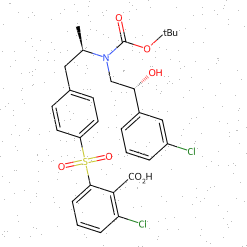 C[C@H](Cc1ccc(S(=O)(=O)c2cccc(Cl)c2C(=O)O)cc1)N(C[C@H](O)c1cccc(Cl)c1)C(=O)OC(C)(C)C